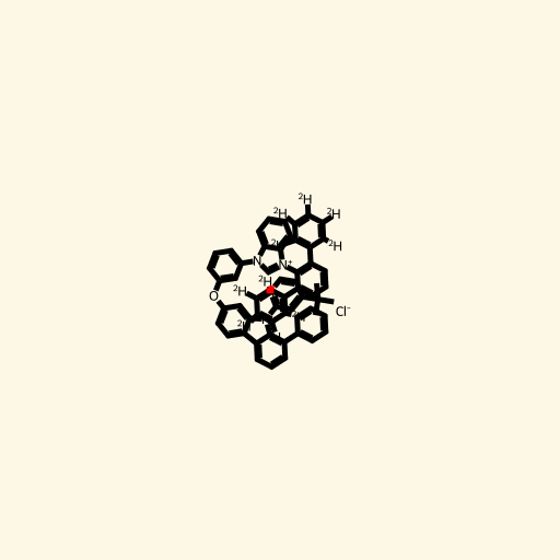 [2H]c1c([2H])c([2H])c(-c2cccc(-c3c([2H])c([2H])c([2H])c([2H])c3[2H])c2-[n+]2cn(-c3cccc(Oc4ccc5c6cccc(-c7ccccc7)c6n(-c6cc(C(C)(C)C)ccn6)c5c4)c3)c3ccccc32)c([2H])c1[2H].[Cl-]